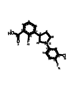 O=C(O)c1cccc(C2CCN(c3ccc(F)c(Cl)c3)C2)c1F